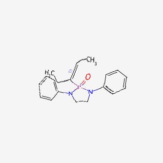 C/C=C(/CC)P1(=O)N(c2ccccc2)CCN1c1ccccc1